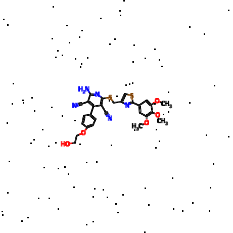 COc1cc(-c2nc(CSc3nc(N)c(C#N)c(-c4ccc(OCCO)cc4)c3C#N)cs2)cc(OC)c1OC